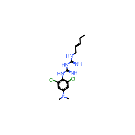 CCC=CCNC(=N)NC(=N)Nc1c(Cl)cc(N(C)C)cc1Cl